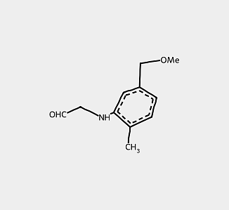 COCc1ccc(C)c(NCC=O)c1